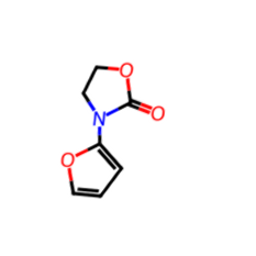 O=C1OCCN1c1ccco1